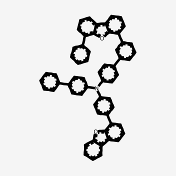 c1ccc(-c2ccc(N(c3ccc(-c4cccc(-c5cccc6c5oc5c(-c7ccccc7)cccc56)c4)cc3)c3ccc(-c4cccc5c4oc4ccccc45)cc3)cc2)cc1